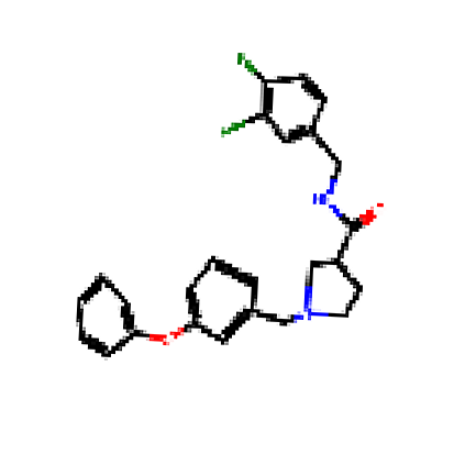 O=C(NCc1ccc(F)c(F)c1)C1CCN(Cc2cccc(Oc3ccccc3)c2)C1